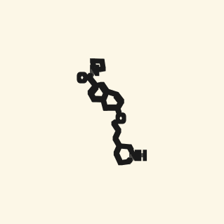 O=C(c1ccc2cc(OCCCC3CCCNC3)ccc2c1)N1CCC1